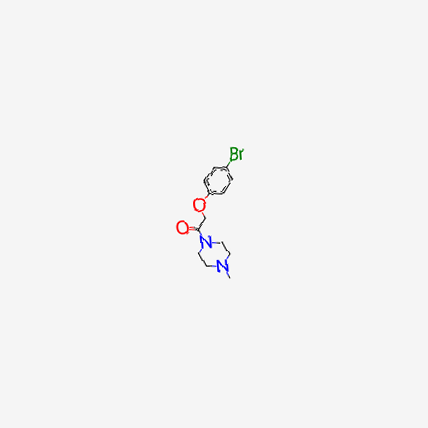 CN1CCN(C(=O)COc2ccc(Br)cc2)CC1